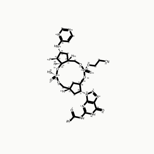 CC(C)C(=O)Nc1nc2c(nnn2[C@@H]2C[C@@H]3CO[P@](=O)(S)O[C@@H]4[C@@H](CO[P@](=S)(OCCC#N)O[C@@H]2C3)C[C@@H](Nc2ccncn2)[C@@H]4F)c(=O)[nH]1